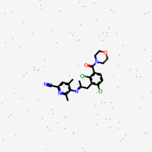 C/C(Cc1c(Cl)ccc(C(=O)N2CCOCC2)c1Cl)=N\c1c(C)cc(C#N)nc1C